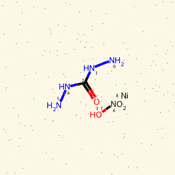 NNC(=O)NN.O=[N+]([O-])O.[Ni]